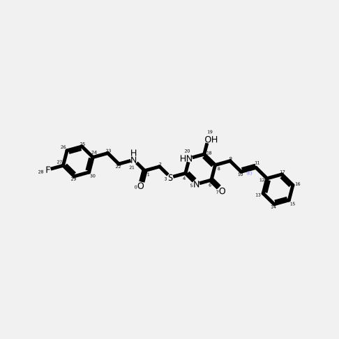 O=C(CSc1nc(=O)c(C/C=C/c2ccccc2)c(O)[nH]1)NCCc1ccc(F)cc1